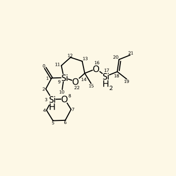 C=C(C[SiH]1CCCCO1)[Si]1(C)CCCC(C)(O[SiH2]C(C)=CC)O1